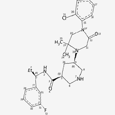 CC[C@@H](NC(=O)[C@@H]1CNC[C@H](N2CC(=O)N(c3ccccc3Cl)CC2(C)C)C1)c1cccc(F)c1